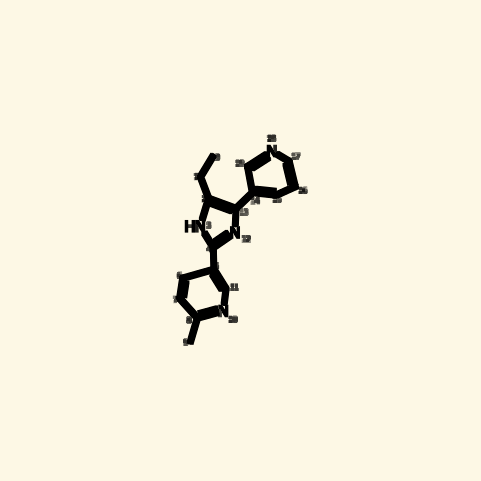 CCc1[nH]c(-c2ccc(C)nc2)nc1-c1cccnc1